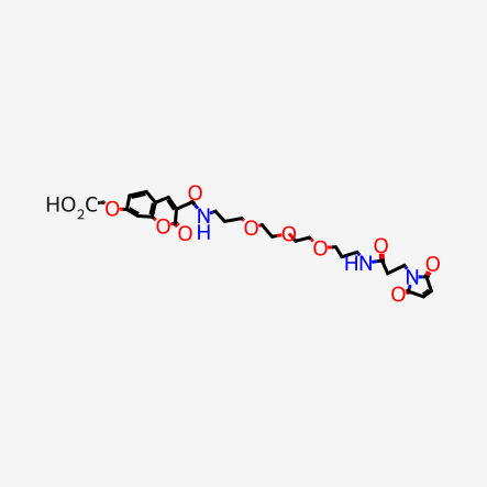 O=C(O)COc1ccc2cc(C(=O)NCCCOCCOCCOCCCNC(=O)CCN3C(=O)C=CC3=O)c(=O)oc2c1